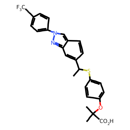 CC(Sc1ccc(OC(C)(C)C(=O)O)cc1)c1ccc2cn(-c3ccc(C(F)(F)F)cc3)nc2c1